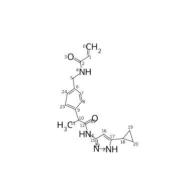 C=CC(=O)NCc1ccc(C(C)C(=O)Nc2cc(C3CC3)[nH]n2)cc1